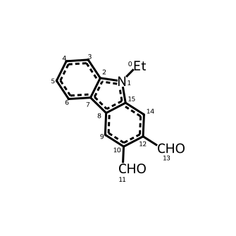 CCn1c2ccccc2c2cc(C=O)c(C=O)cc21